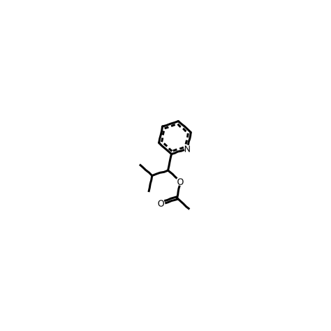 CC(=O)OC(c1ccccn1)C(C)C